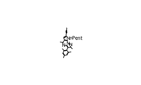 CC#Cc1cc2c(C)nc3c(-c4c(C)cc(C)cc4C)c(C)nn3c2n1CCCCC